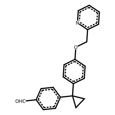 O=Cc1ccc(C2(c3ccc(OCc4ccccn4)cc3)CC2)cc1